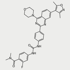 Cc1noc(C)c1-c1ccc2c(N3CCOCC3)nc(-c3ccc(NC(=O)Nc4ccc(C(=O)N(C)C)c(F)c4)cc3)nc2c1